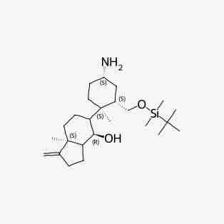 C=C1CCC2[C@H](O)C([C@@]3(C)CC[C@H](N)C[C@@H]3CO[Si](C)(C)C(C)(C)C)CC[C@]12C